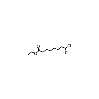 CCOC(=O)CCCCCCC(Cl)Cl